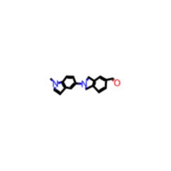 Cn1ccc2cc(N3Cc4ccc(C=O)cc4C3)ccc21